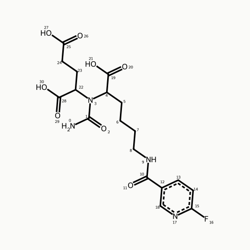 NC(=O)N(C(CCCCNC(=O)c1ccc(F)nc1)C(=O)O)C(CCC(=O)O)C(=O)O